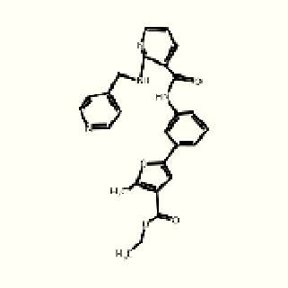 CCOC(=O)c1cc(-c2cccc(NC(=O)c3cccnc3NCc3ccncc3)c2)oc1C